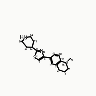 C[C@H]1CCCc2cc(-c3csc(C4CCNCC4)n3)ccc21